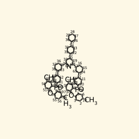 Cc1ccc2c(c1)P(=O)(c1ccc(-c3cccc(-c4cc(-c5ccc(-c6ccccc6)cc5)cc(-c5cccc(-c6ccc(P7(=O)c8cc(C)ccc8Oc8ccc(C)cc87)cc6)c5)n4)c3)cc1)c1cc(C)ccc1O2